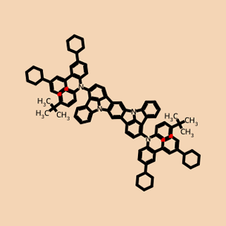 CC(C)(C)c1ccc(N(c2ccc(C3CCCCC3)cc2-c2cccc(C3CCCCC3)c2)c2ccc3c4cc5c(cc4n4c6ccccc6c2c34)c2ccc(N(c3ccc(C(C)(C)C)cc3)c3ccc(C4CCCCC4)cc3-c3cccc(C4CCCCC4)c3)c3c4ccccc4n5c23)cc1